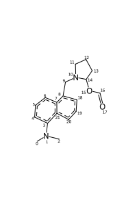 CN(C)c1cccc2c(CN3CCCC3OC=O)cccc12